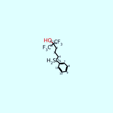 OC(CCC[SiH2]c1ccccc1)(C(F)(F)F)C(F)(F)F